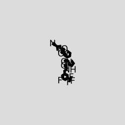 N#CC1CN(S(=O)(=O)N2CCC[C@H](C(=O)N3CCC[C@@H]3C(=O)NCc3cc(F)cc(C(F)(F)F)c3)C2)C1